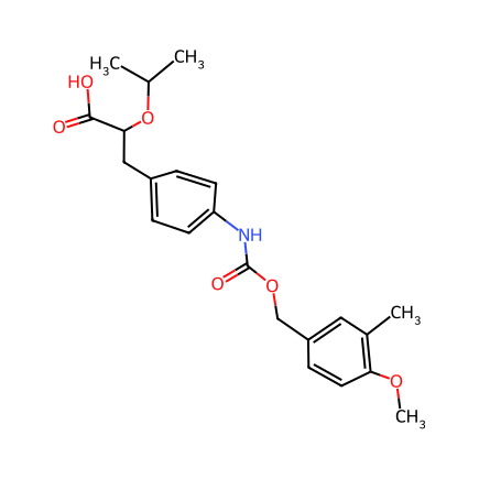 COc1ccc(COC(=O)Nc2ccc(CC(OC(C)C)C(=O)O)cc2)cc1C